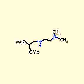 COC(CNCCN(C)C)OC